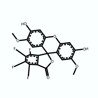 COc1cc2c(cc1O)Oc1cc(O)c(OC)cc1C21OC(=O)c2c(F)c(F)c(F)c(F)c21